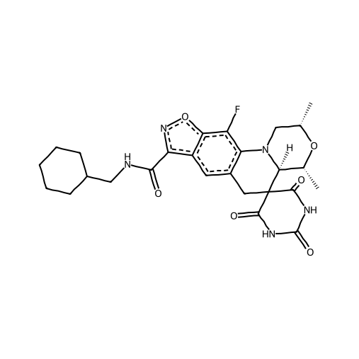 C[C@H]1CN2c3c(cc4c(C(=O)NCC5CCCCC5)noc4c3F)CC3(C(=O)NC(=O)NC3=O)[C@@H]2[C@@H](C)O1